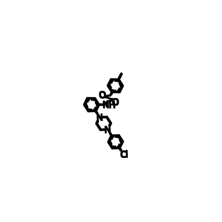 Cc1ccc(S(=O)(=O)Nc2ccccc2N2CCN(c3ccc(Cl)cc3)CC2)cc1